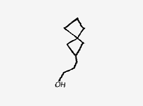 OCCC1CC2(CCC2)C1